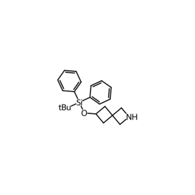 CC(C)(C)[Si](OC1CC2(CNC2)C1)(c1ccccc1)c1ccccc1